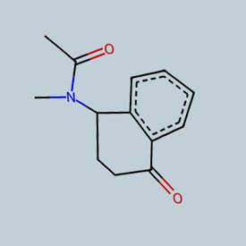 CC(=O)N(C)C1CCC(=O)c2ccccc21